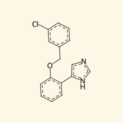 Clc1cccc(COc2ccccc2-c2cnc[nH]2)c1